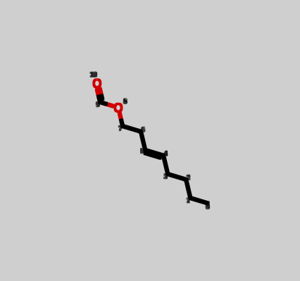 CCCCC=CCCOC=O